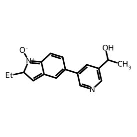 CCC1C=c2cc(-c3cncc(C(C)O)c3)ccc2=[N+]1[O-]